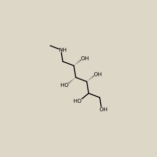 CNC[C@H](O)[C@@H](O)[C@H](O)C(O)CO